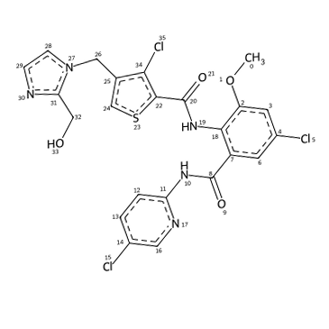 COc1cc(Cl)cc(C(=O)Nc2ccc(Cl)cn2)c1NC(=O)c1scc(Cn2ccnc2CO)c1Cl